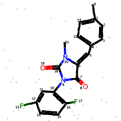 Cc1ccc(C=C2C(=O)N(c3cc(F)ccc3F)C(=O)N2C)cc1